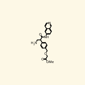 COC(=O)COCc1ccc(C(CN)C(=O)Nc2ccc3cnccc3c2)cc1